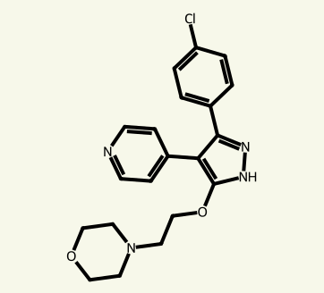 Clc1ccc(-c2n[nH]c(OCCN3CCOCC3)c2-c2ccncc2)cc1